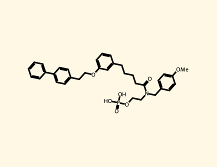 COc1ccc(CN(CCOP(=O)(O)O)C(=O)CCCCc2cccc(OCCc3ccc(-c4ccccc4)cc3)c2)cc1